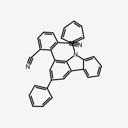 N#Cc1cccc(C#N)c1-c1cc(-c2ccccc2)cc2c3ccccc3n(-c3ccccc3)c12